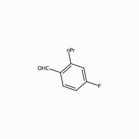 CCCc1cc(F)ccc1C=O